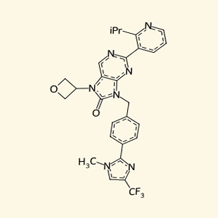 CC(C)c1ncccc1-c1ncc2c(n1)n(Cc1ccc(-c3nc(C(F)(F)F)cn3C)cc1)c(=O)n2C1COC1